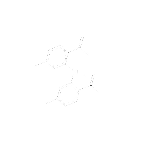 C=C(C)c1ccc(C)cc1[SiH2]c1cc(C)ccc1C(=C)C